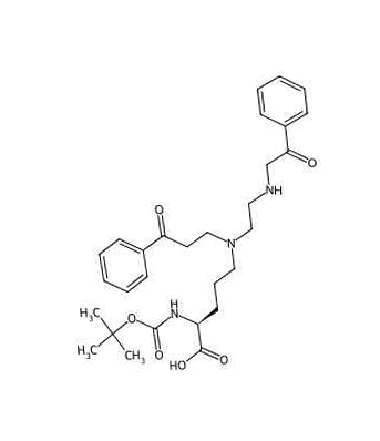 CC(C)(C)OC(=O)N[C@@H](CCCN(CCNCC(=O)c1ccccc1)CCC(=O)c1ccccc1)C(=O)O